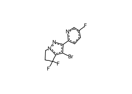 Fc1ccc(-c2nn3c(c2Br)C(F)(F)CC3)nc1